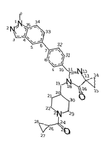 Cn1ncc2cc(-c3ccc(C4=NC5(CC5)C(=O)N4CC4CCN(C(=O)C5CC5)CC4)cc3)ccc21